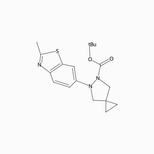 Cc1nc2ccc(N3CC4(CC4)CN3C(=O)OC(C)(C)C)cc2s1